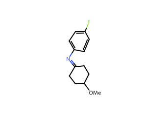 COC1CCC(=Nc2ccc(F)cc2)CC1